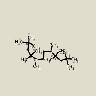 CP(CC[P@@](C)C(C)(C)CC(C)(C)C)C(C)(C)CC(C)(C)C